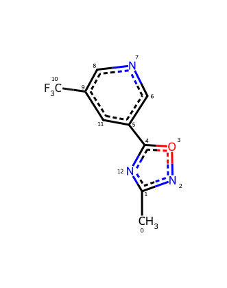 Cc1noc(-c2cncc(C(F)(F)F)c2)n1